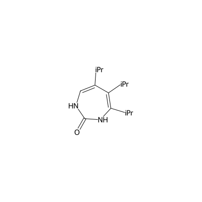 CC(C)C1=CNC(=O)NC(C(C)C)=C1C(C)C